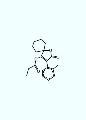 CCC(=O)OC1=C(c2ccccc2C)C(=O)OC12CCCCC2